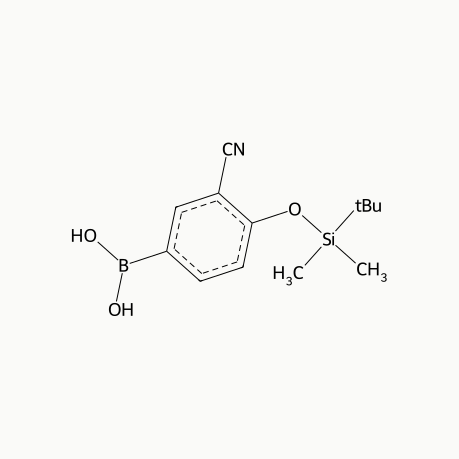 CC(C)(C)[Si](C)(C)Oc1ccc(B(O)O)cc1C#N